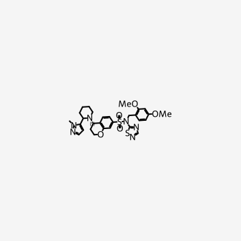 COc1ccc(CN(c2ncns2)S(=O)(=O)c2ccc3c(c2)OCC[C@@H]3N2CCCCC2c2ccnn2C)c(OC)c1